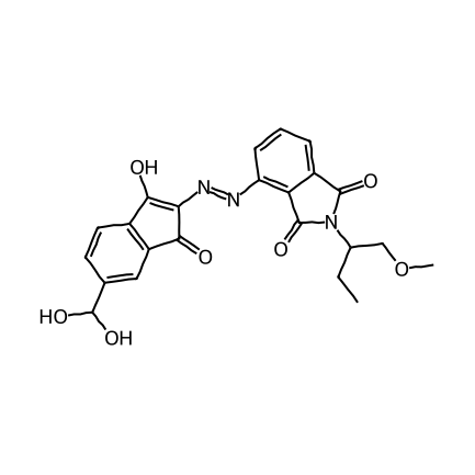 CCC(COC)N1C(=O)c2cccc(N=NC3=C(O)c4ccc(C(O)O)cc4C3=O)c2C1=O